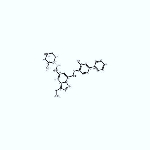 CCc1cnn2c(NCc3ccc(-c4ccccc4)cc3F)cc(NC[C@H]3CCNC[C@@H]3O)nc12